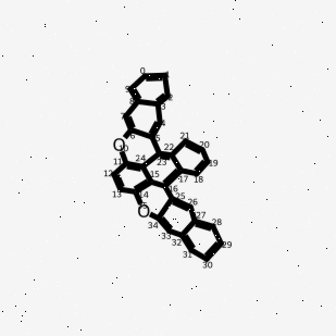 c1ccc2cc3c(cc2c1)Oc1ccc2c4c(c5ccccc5c-3c14)-c1cc3ccccc3cc1O2